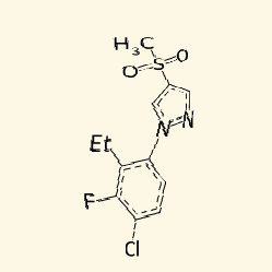 CCc1c(-n2cc(S(C)(=O)=O)cn2)ccc(Cl)c1F